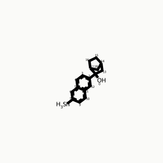 OC1(c2ccc3cc([SiH3])ccc3c2)CC2CCC1C2